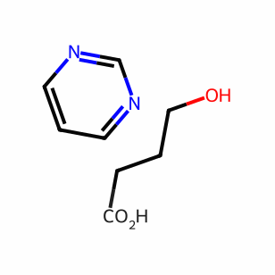 O=C(O)CCCO.c1cncnc1